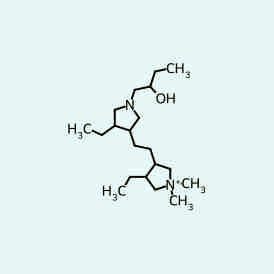 CCC(O)CN1CC(CC)C(CCC2C[N+](C)(C)CC2CC)C1